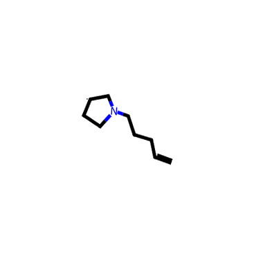 C=CCCCN1C[CH]CC1